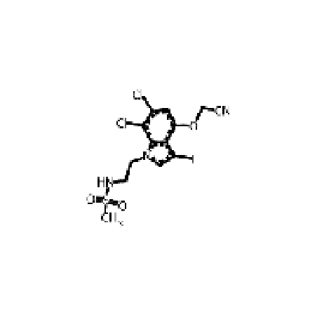 CS(=O)(=O)NCCn1cc(I)c2c(OCC#N)cc(Cl)c(Cl)c21